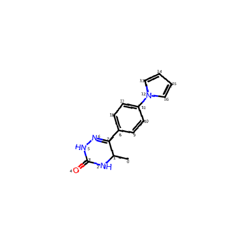 CC1NC(=O)NN=C1c1ccc(-n2cccc2)cc1